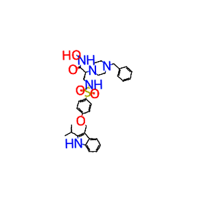 CC(C)c1[nH]c2ccccc2c1COc1ccc(S(=O)(=O)NC[C@@H](C(=O)NO)N2CCN(Cc3ccccc3)CC2)cc1